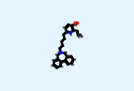 C=Cc1nc(CCCCCN2Cc3ccccc3-c3ccccc3C2)ccc1O